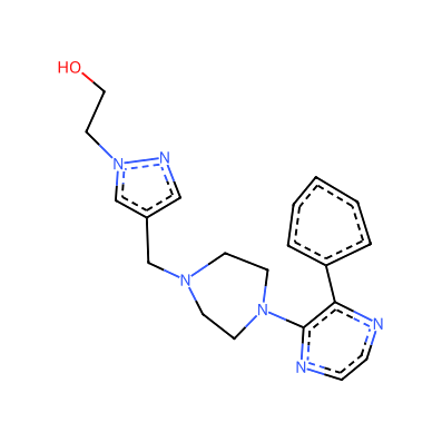 OCCn1cc(CN2CCN(c3nccnc3-c3ccccc3)CC2)cn1